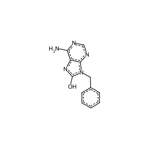 Nc1ncnc2c1nc(O)n2Cc1ccccc1